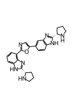 c1cc(-c2ncc(-c3ccc4[nH]c([C@@H]5CCCN5)nc4c3)o2)c2nc([C@@H]3CCCN3)[nH]c2c1